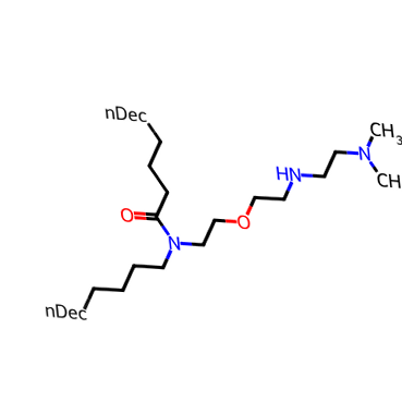 CCCCCCCCCCCCCCN(CCOCCNCCN(C)C)C(=O)CCCCCCCCCCCCC